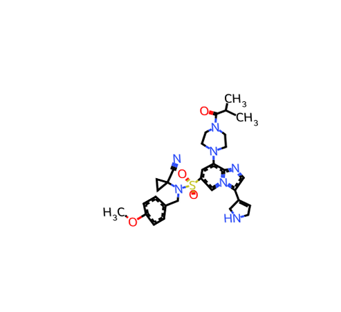 COc1ccc(CN(C2(C#N)CC2)S(=O)(=O)c2cc(N3CCN(C(=O)C(C)C)CC3)c3ncc(C4=CCNC4)n3c2)cc1